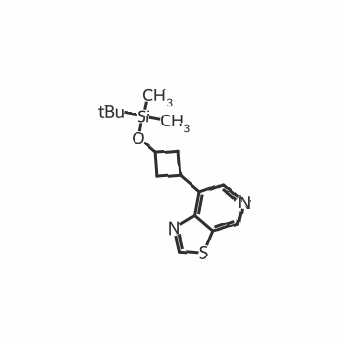 CC(C)(C)[Si](C)(C)OC1CC(c2cncc3scnc23)C1